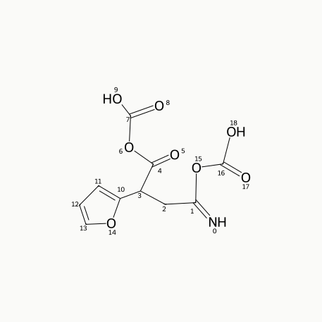 N=C(CC(C(=O)OC(=O)O)c1ccco1)OC(=O)O